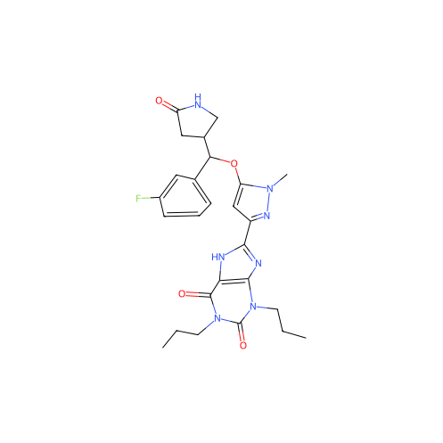 CCCn1c(=O)c2[nH]c(-c3cc(OC(c4cccc(F)c4)C4CNC(=O)C4)n(C)n3)nc2n(CCC)c1=O